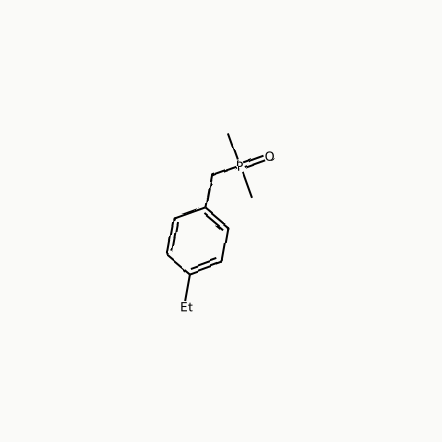 CCc1ccc(CP(C)(C)=O)cc1